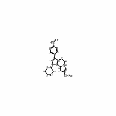 CCNc1ccc(-c2nn(C3CCCOC3)c3c2CCn2nc(NC(C)=O)cc2-3)cn1